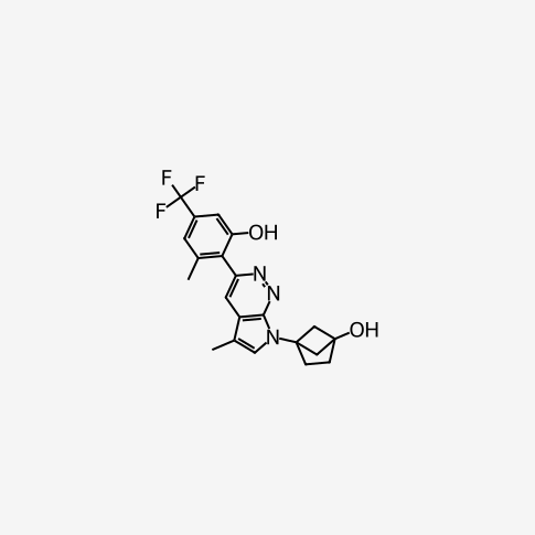 Cc1cc(C(F)(F)F)cc(O)c1-c1cc2c(C)cn(C34CCC(O)(C3)C4)c2nn1